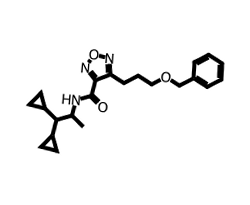 CC(NC(=O)c1nonc1CCCOCc1ccccc1)C(C1CC1)C1CC1